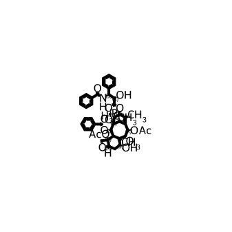 CC(=O)O[C@H]1C(=O)[C@@]2(C)C([C@H](OC(=O)c3ccccc3)[C@]3(OC(C)C)C[C@H](OC(=O)[C@H](O)[C@@H](NC(=O)c4ccccc4)c4ccccc4)C(C)=C1C3(C)C)[C@]1(OC(C)=O)CO[C@@H]1C[C@@H]2O